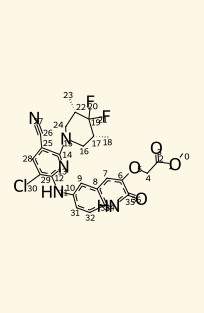 COC(=O)COc1cc2cc(Nc3nc(N4C[C@@H](C)C(F)(F)[C@@H](C)C4)c(C#N)cc3Cl)ccc2[nH]c1=O